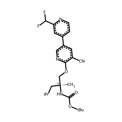 CC(C)C[C@@](C)(COc1ncc(-c2ccnc(C(F)F)c2)cc1C#N)NC(=O)OC(C)(C)C